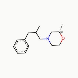 CC(Cc1ccccc1)CN1CCO[C@@H](C)C1